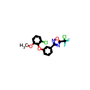 COc1cccc(Cl)c1Oc1[c]ccc(-c2noc(C(F)(F)Cl)n2)c1